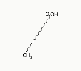 CCCCCCCC=CC=CC=CC=CCCCCC(=O)O